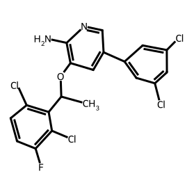 CC(Oc1cc(-c2cc(Cl)cc(Cl)c2)cnc1N)c1c(Cl)ccc(F)c1Cl